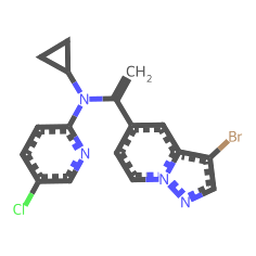 C=C(c1ccn2ncc(Br)c2c1)N(c1ccc(Cl)cn1)C1CC1